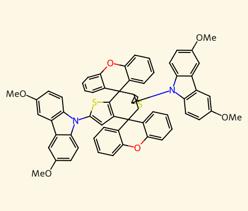 COc1ccc2c(c1)c1cc(OC)ccc1n2-c1cc2c(s1)C1(c3ccccc3Oc3ccccc31)c1cc(-n3c4ccc(OC)cc4c4cc(OC)ccc43)sc1C21c2ccccc2Oc2ccccc21